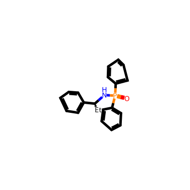 CC[C@H](NP(=O)(c1ccccc1)c1ccccc1)c1ccccc1